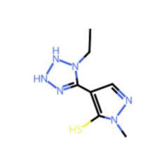 CCN1NNN=C1c1cnn(C)c1S